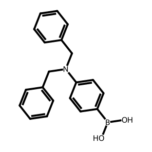 OB(O)c1ccc(N(Cc2ccccc2)Cc2ccccc2)cc1